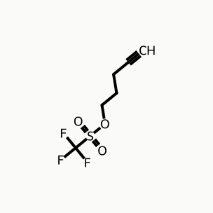 C#CCCCOS(=O)(=O)C(F)(F)F